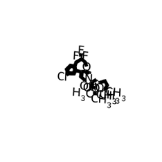 CC(C)(C)OC(=O)C(C[C@@H]1CCC(C)(C)O1)N1C=C2OC[C@H](C(F)(F)F)Cc3ccc(Cl)cc3C2=CC1O